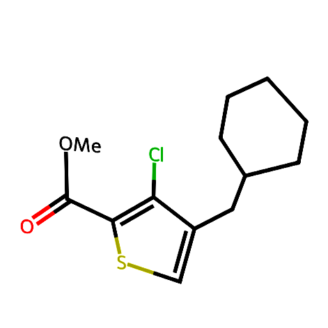 COC(=O)c1scc(CC2CCCCC2)c1Cl